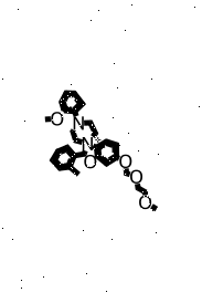 COCCOCOc1ccc([N+]2(C(=O)c3ccccc3C)CCN(c3ccccc3OC)CC2)cc1